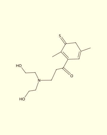 CC1=CC(C(=O)CCN(CCO)CCO)=C(C)C(=S)C1